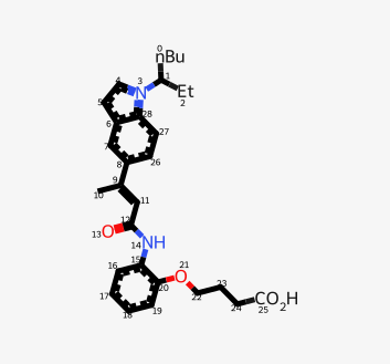 CCCCC(CC)n1ccc2cc(C(C)=CC(=O)Nc3ccccc3OCCCC(=O)O)ccc21